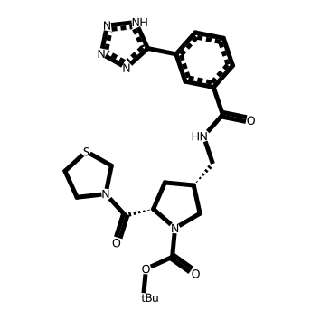 CC(C)(C)OC(=O)N1C[C@@H](CNC(=O)c2cccc(-c3nnn[nH]3)c2)C[C@H]1C(=O)N1CCSC1